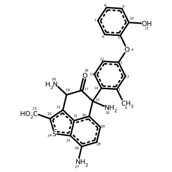 Cc1cc(Oc2ccccc2O)ccc1C1(N)C(=O)C(N)c2c(C(=O)O)sc3c(N)ccc1c23